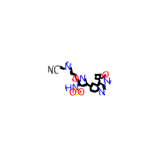 CN(CCC#N)CCCOc1ncc(-c2ccc3ncc4c(c3c2)C2(CCC2)C(=O)N4C)cc1NS(C)(=O)=O